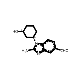 Nc1nc2cc(C=O)ccc2n1[C@H]1CCC[C@H](O)C1